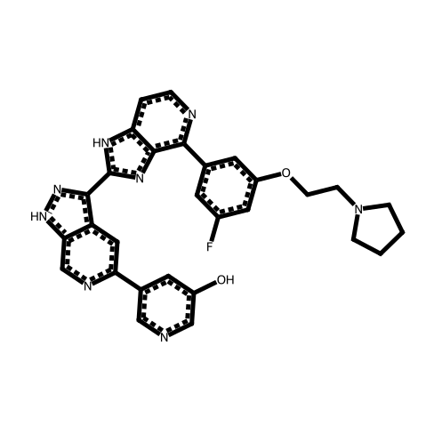 Oc1cncc(-c2cc3c(-c4nc5c(-c6cc(F)cc(OCCN7CCCC7)c6)nccc5[nH]4)n[nH]c3cn2)c1